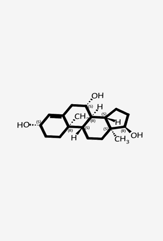 C[C@]12CC[C@H]3[C@@H]([C@@H](O)CC4=C[C@@H](O)CC[C@@]43C)[C@@H]1CC[C@H]2O